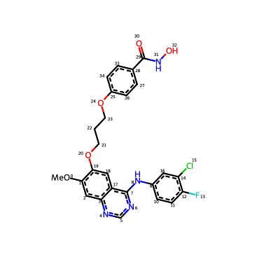 COc1cc2ncnc(Nc3ccc(F)c(Cl)c3)c2cc1OCCCOc1ccc(C(=O)NO)cc1